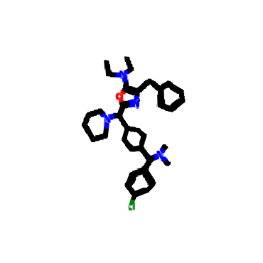 CCN(CC)c1oc(C(C2CCC(C(c3ccc(Cl)cc3)N(C)C)CC2)N2CCCCC2)nc1Cc1ccccc1